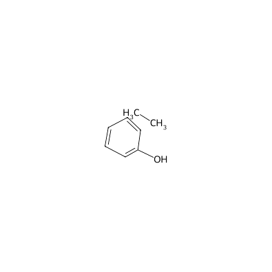 CC.Oc1ccccc1